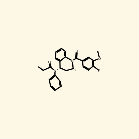 CCC(=O)N(c1ccccc1)[C@H]1C[C@@H](C)N(C(=O)c2ccc(F)c(OC)c2)c2ccccc21